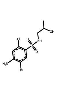 CC(O)CNS(=O)(=O)c1cc(Br)c(N)cc1Cl